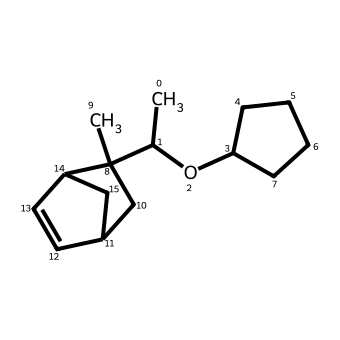 CC(OC1CCCC1)C1(C)CC2C=CC1C2